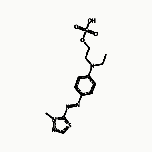 CCN(CCOS(=O)(=O)O)c1ccc(N=Nc2scn[n+]2C)cc1